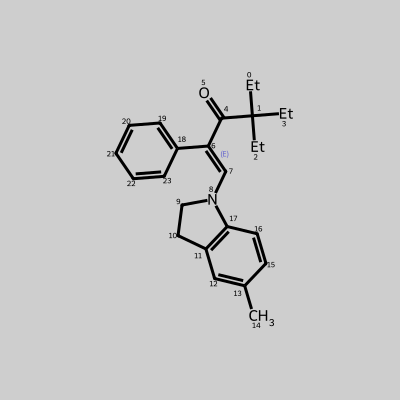 CCC(CC)(CC)C(=O)/C(=C/N1CCc2cc(C)ccc21)c1ccccc1